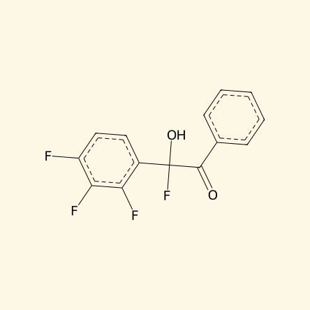 O=C(c1ccccc1)C(O)(F)c1ccc(F)c(F)c1F